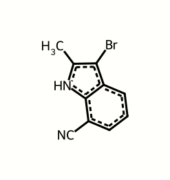 Cc1[nH]c2c(C#N)cccc2c1Br